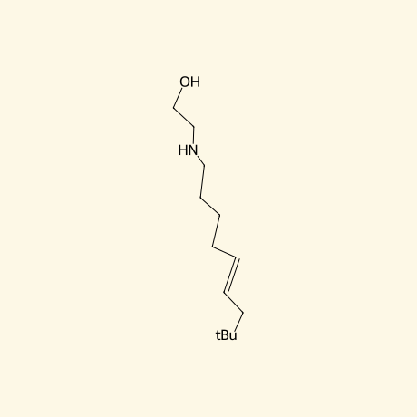 CC(C)(C)C/C=C/CCCCNCCO